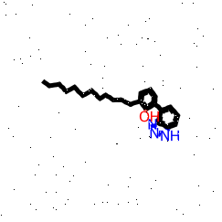 CCCCCCCCCCCCc1cccc(-c2cccc3[nH]nnc23)c1O